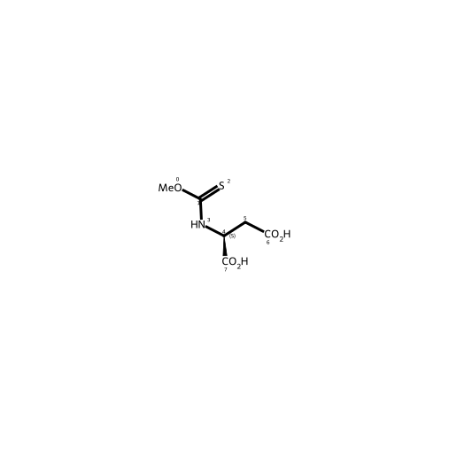 COC(=S)N[C@@H](CC(=O)O)C(=O)O